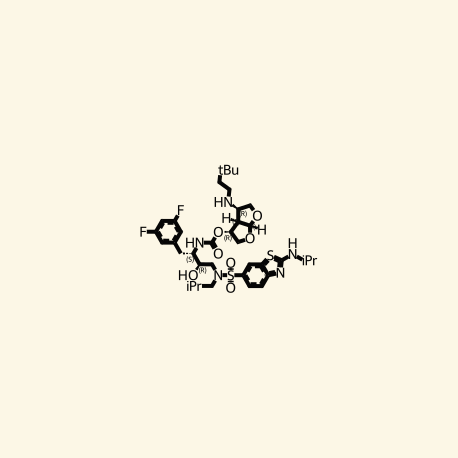 CC(C)CN(C[C@@H](O)[C@H](Cc1cc(F)cc(F)c1)NC(=O)O[C@H]1CO[C@H]2OC[C@H](NCCC(C)(C)C)[C@H]21)S(=O)(=O)c1ccc2nc(NC(C)C)sc2c1